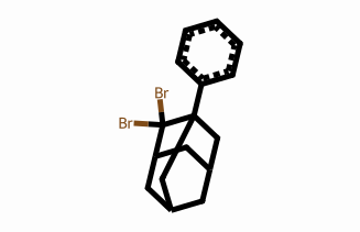 BrC1(Br)C2CC3CC(C2)CC1(c1ccccc1)C3